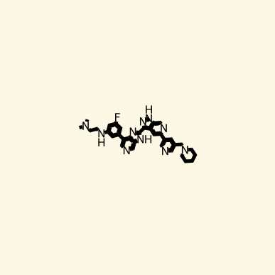 CN(C)CCNc1cc(F)cc(-c2cncc3[nH]c(-c4n[nH]c5cnc(-c6cncc(CN7CCCCC7)c6)cc45)nc23)c1